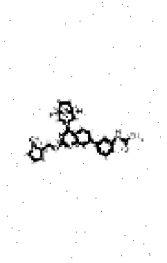 CC(=O)Nc1cccc(-c2ccc3c(N4C[C@H]5CC[C@@H](C4)N5)nc(OCC4CCCN4C)nc3c2)c1